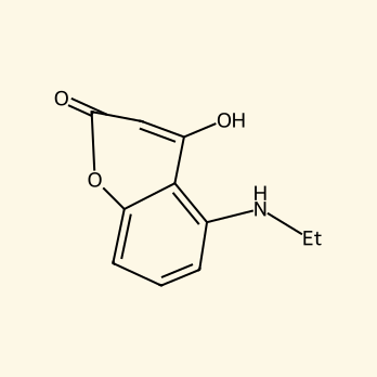 CCNc1cccc2oc(=O)cc(O)c12